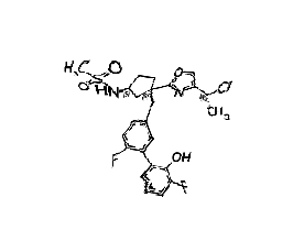 C[C@@H](Cl)c1coc([C@@]2(Cc3ccc(F)c(-c4cccc(F)c4O)c3)CC[C@H](NS(C)(=O)=O)C2)n1